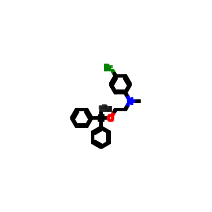 CN(CCO[Si](c1ccccc1)(c1ccccc1)C(C)(C)C)c1ccc(Br)cc1